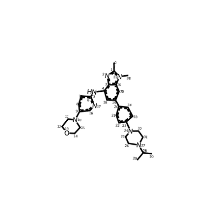 Cc1nc2c(Nc3ccc(N4CCOCC4)cn3)cc(-c3ccc(N4CCN(C(C)C)CC4)cc3)cc2n1C